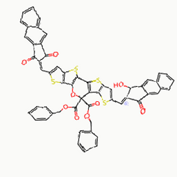 O=C1C(=Cc2cc3sc4c(c3s2)OC(C(=O)OCc2ccccc2)(C(=O)OCc2ccccc2)c2c-4sc3cc(/C=C4/C(=O)c5cc6ccccc6cc5C4O)sc23)C(=O)c2cc3ccccc3cc21